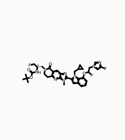 Cn1c(-c2cc3cccc(OC(F)Cn4cnc(F)c4)c3n2CC2CC2)nc2cc3c(nc21)CCN(C[C@@H](CF)NC(=O)OC(C)(C)C)C3=O